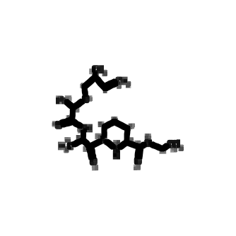 C=CC(C)COC(C(=O)NC(C)C(=O)N1CCCC(C(=O)OCC(Cl)(Cl)Cl)N1)C(C)C